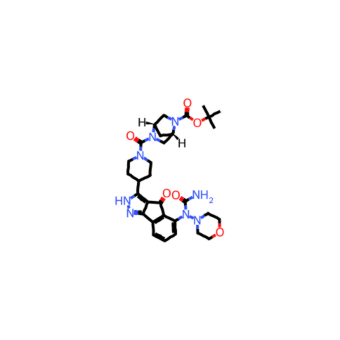 CC(C)(C)OC(=O)N1C[C@@H]2C[C@H]1CN2C(=O)N1CCC(c2[nH]nc3c2C(=O)c2c-3cccc2N(C(N)=O)N2CCOCC2)CC1